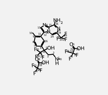 CNCCC(O)(c1ccc(C)c(-c2cnc3c(N)nc(C(F)(F)F)cn23)c1)C(F)(F)F.O=C(O)C(F)(F)F.O=C(O)C(F)(F)F